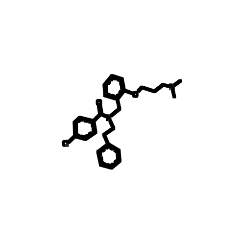 CN(C)CCCOc1ccccc1CN(CCc1ccccc1)C(=O)c1ccc(Cl)cc1